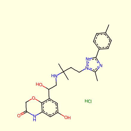 Cc1ccc(-c2nc(C)n(CCC(C)(C)NCC(O)c3cc(O)cc4c3OCC(=O)N4)n2)cc1.Cl